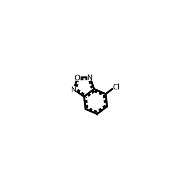 Clc1c[c]cc2nonc12